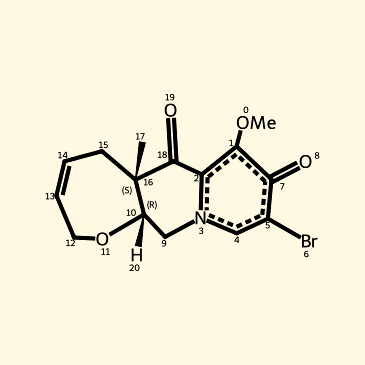 COc1c2n(cc(Br)c1=O)C[C@@H]1OCC=CC[C@]1(C)C2=O